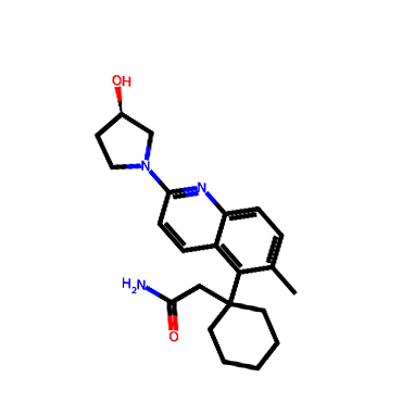 Cc1ccc2nc(N3CC[C@@H](O)C3)ccc2c1C1(CC(N)=O)CCCCC1